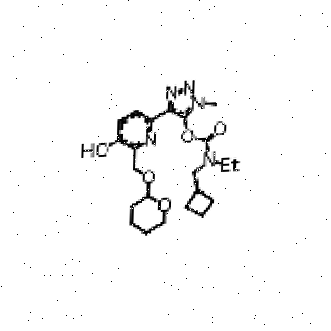 CCN(CC1CCC1)C(=O)Oc1c(-c2ccc(O)c(COC3CCCCO3)n2)nnn1C